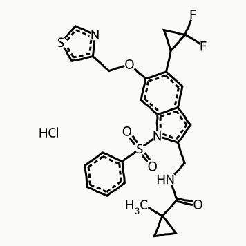 CC1(C(=O)NCc2cc3cc(C4CC4(F)F)c(OCc4cscn4)cc3n2S(=O)(=O)c2ccccc2)CC1.Cl